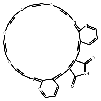 O=c1[nH]c(=O)c2cc3cccnc3nccoccoccoccoccnc3ncccc3cc1=2